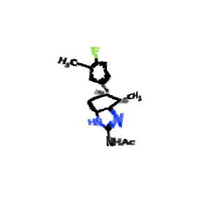 CC(=O)NC1=NC2C(C[C@H](c3ccc(F)c(C)c3)[C@@H]2C)N1